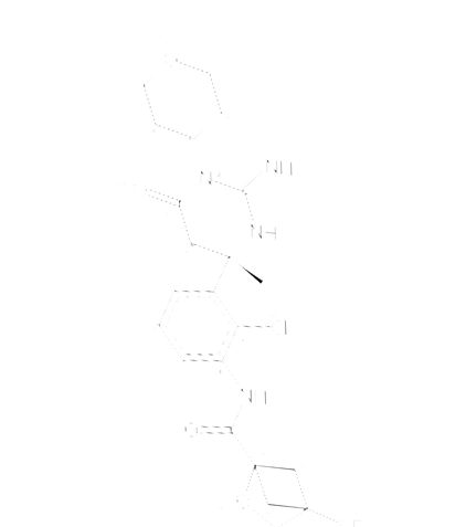 C[C@@H]1C[C@H](N2C(=N)N[C@](C)(c3cccc(NC(=O)C45CC(C(F)(F)F)(CO4)C5)c3Cl)CC2=O)CCO1